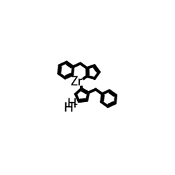 C1=CC(Cc2ccccc2)=[C]([Zr][C]2=C(Cc3ccccc3)C=CC2)C1.[H-].[H-]